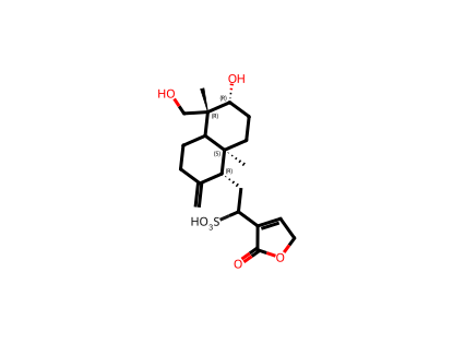 C=C1CCC2[C@](C)(CO)[C@H](O)CC[C@@]2(C)[C@@H]1CC(C1=CCOC1=O)S(=O)(=O)O